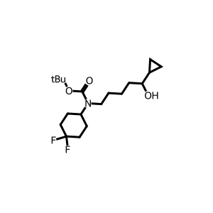 CC(C)(C)OC(=O)N(CCCCC(O)C1CC1)C1CCC(F)(F)CC1